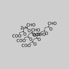 O=CC(=O)CC(=O)CC(=O)[O-].O=CC(=O)CC(=O)CC(=O)[O-].O=CC(=O)CC(=O)CC(=O)[O-].O=CC(=O)CC(=O)CC(=O)[O-].[Zr+4]